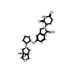 O=C1CCC(N2Cc3cc(O[C@H]4CCC[C@@H]4N4C[C@H]5COC[C@H]5C4)ccc3C2O)C(=O)N1